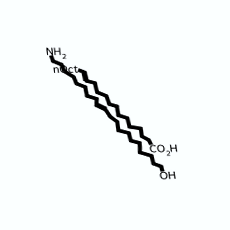 CCCCCCCCC=CCCCCCCCCCCCC(=O)O.NCCCCCCCCC=CCCCCCCCCCCO